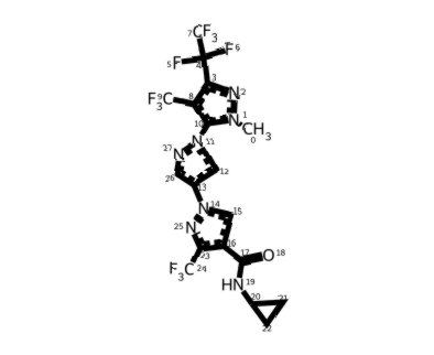 Cn1nc(C(F)(F)C(F)(F)F)c(C(F)(F)F)c1-n1cc(-n2cc(C(=O)NC3CC3)c(C(F)(F)F)n2)cn1